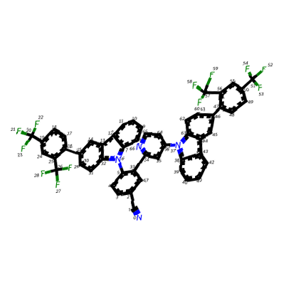 N#Cc1ccc(-n2c3ccccc3c3cc(-c4ccc(C(F)(F)F)cc4C(F)(F)F)ccc32)c(-c2cc(-n3c4ccccc4c4cc(-c5ccc(C(F)(F)F)cc5C(F)(F)F)ccc43)ccn2)c1